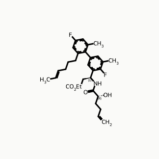 C=CCC[C@@H](O)C(=O)N[C@@H](CC(=O)OCC)c1cc(-c2c(C)cc(F)cc2CCCC=CC)cc(C)c1F